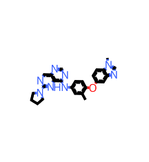 Cc1cc(Nc2ncnc3cnc(N4CCCC4)nc23)ccc1Oc1ccc2c(c1)ncn2C